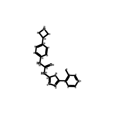 Cc1cnccc1-c1nnc(NC(=O)Nc2ccc(C3COC3)cc2)s1